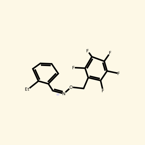 CCc1ccccc1/[C]=N\OCc1c(F)c(F)c(F)c(F)c1F